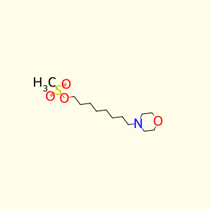 CS(=O)(=O)OCCCCCCCCN1CCOCC1